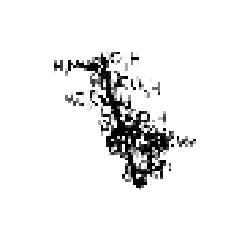 CNC(=O)[C@H](C)NC(=O)[C@H](CSC)NC(=O)CNC(=O)[C@H](CC(C)C)NC(=O)[C@@H]1CCCN1C(=O)COCCNC(=O)[C@H](Cc1ccc(C(C)=O)cc1)NC(=O)[C@@H](CCC(=O)O)NC(=O)[C@@H](CCC(=O)O)NC(=O)[C@@H](CCC(=O)O)NC(=O)[C@@H](CCC(=O)O)NC(=O)[C@@H](CCC(=O)O)NC(=O)COCCN